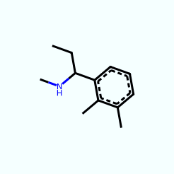 CCC(NC)c1cccc(C)c1C